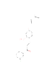 C=C(C)CCOc1ccc(/C=C/C(=O)c2ccc(Cl)c(Cl)c2)c(O)c1